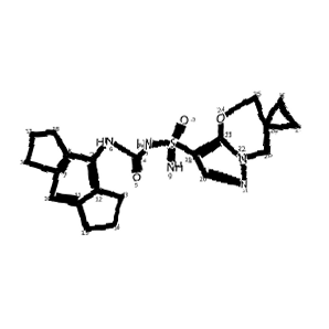 N=S(=O)(NC(=O)Nc1c2c(cc3c1CCC3)CCC2)c1cnn2c1OCC1(CC1)C2